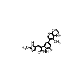 Cc1ncc(/C=C2\C(=O)Nc3c(F)cc(-c4cnc5c(c4C)NCCO5)cc32)[nH]1